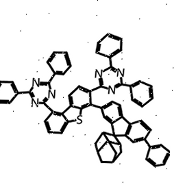 c1ccc(-c2ccc3c(c2)C2(c4cc(-c5c(-c6nc(-c7ccccc7)nc(-c7ccccc7)n6)ccc6c5sc5cccc(-c7nc(-c8ccccc8)nc(-c8ccccc8)n7)c56)ccc4-3)C3CC4CC(C3)CC2C4)cc1